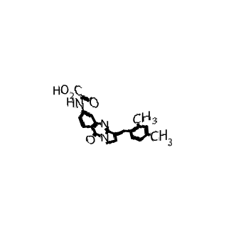 Cc1ccc(C=C2CCn3c2nc2cc(NC(=O)C(=O)O)ccc2c3=O)c(C)c1